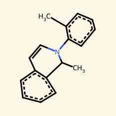 Cc1ccccc1N1C=Cc2ccccc2C1C